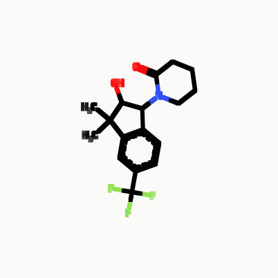 CC1(C)c2cc(C(F)(F)F)ccc2C(N2CCCCC2=O)C1O